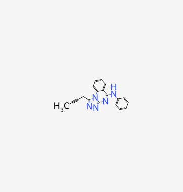 CC#CCc1nnc2nc(Nc3ccccc3)c3ccccc3n12